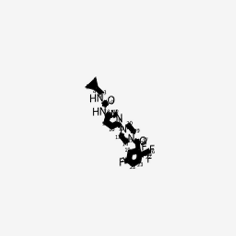 O=C(NCC1CC1)Nc1ccc(N2CCN(C(=O)c3cc(F)ccc3C(F)(F)F)CC2)nn1